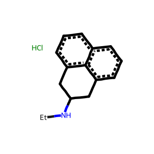 CCNC1Cc2cccc3cccc(c23)C1.Cl